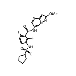 COc1cc2ncc(NC(=O)c3c(F)ccc(NS(=O)(=O)N4CCCC4)c3F)cn2n1